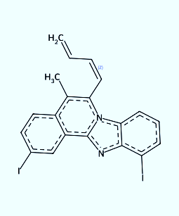 C=C/C=C\c1c(C)c2ccc(I)cc2c2nc3c(I)cccc3n12